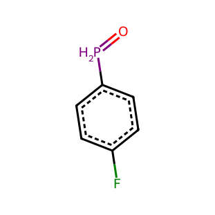 O=[PH2]c1ccc(F)cc1